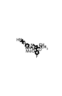 COc1cc(F)ccc1-c1c(C(=O)N(C)C)cc2cnc(Nc3ccc(N4CC5(CNC5)C4)cn3)nn12